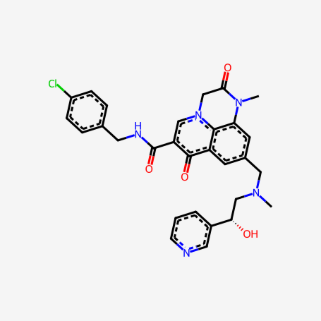 CN(Cc1cc2c3c(c1)c(=O)c(C(=O)NCc1ccc(Cl)cc1)cn3CC(=O)N2C)C[C@H](O)c1cccnc1